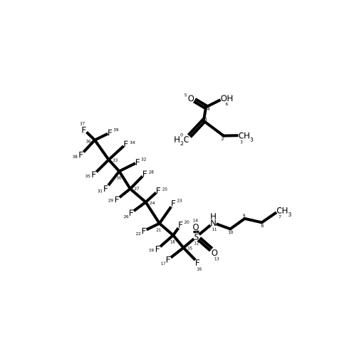 C=C(CC)C(=O)O.CCCCNS(=O)(=O)C(F)(F)C(F)(F)C(F)(F)C(F)(F)C(F)(F)C(F)(F)C(F)(F)C(F)(F)F